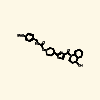 COc1ccc(CNC(=O)ON2CCC(c3nc(C(=O)N4CCC(O)C5CCCC=C54)cs3)CC2)cc1